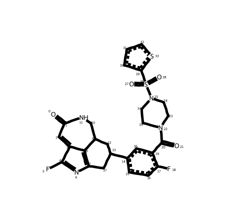 O=C1C=C2C(F)=NC3=C2C(CN1)CC(c1ccc(F)c(C(=O)N2CCN(S(=O)(=O)c4cccs4)CC2)c1)C3